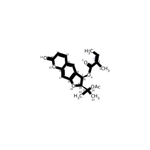 C/C=C(/C)C(=O)O[C@@H]1c2cc3ccc(=O)oc3cc2O[C@@H]1C(C)(C)OC(C)=O